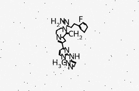 C=C1C2CC(c3ccnc(Nc4ccnn4C)n3)=CN2CCCN1/C(CCC1=CCCC=C1F)=N\N